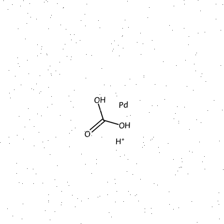 O=C(O)O.[H+].[Pd]